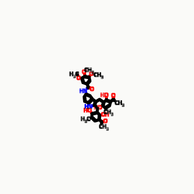 COc1cc(C(=O)Nc2ccc3[nH]c(Cc4c(O)c(C)cc(C(C)=O)c4O)c(Cc4c(O)c(C)cc(C(C)=O)c4O)c3c2)cc(OC)c1OC